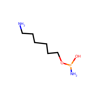 NCCCCCCOP(N)O